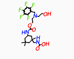 CC1(C)CC(NC(=O)OCCN(CCO)Cc2c(F)c(F)c(F)c(F)c2F)CC(C)(CNC(=O)O)C1